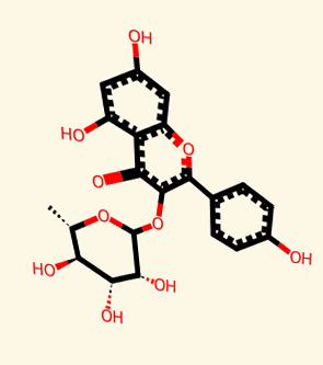 C[C@@H]1OC(Oc2c(-c3ccc(O)cc3)oc3cc(O)cc(O)c3c2=O)[C@H](O)[C@H](O)[C@H]1O